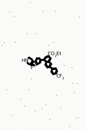 CCOC(=O)c1cc(-c2ccc(C34CCNCC3C4(F)F)cc2)c2ccc(-c3ccc(C(F)(F)F)cc3)cc2c1